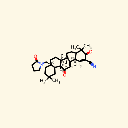 CC1(C)CC[C@]2(CN3CCCC3=O)CC[C@]3(C)[C@H](C(=O)C=C4[C@@]5(C)C=C(C#N)C(=O)C(C)(C)C5CC[C@]43C)C2C1